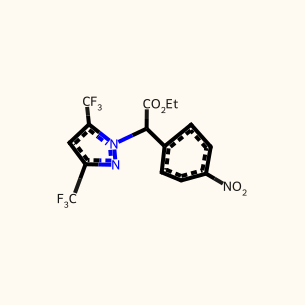 CCOC(=O)C(c1ccc([N+](=O)[O-])cc1)n1nc(C(F)(F)F)cc1C(F)(F)F